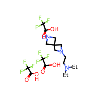 CCN(CC)CCN1CC2(CNC2)C1.O=C(O)C(F)(F)F.O=C(O)C(F)(F)F.O=C(O)C(F)(F)F